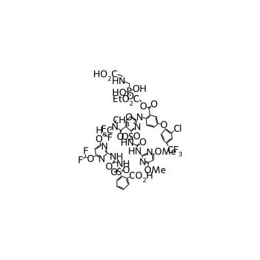 CCOC(=O)COC(=O)c1cc(Oc2ccc(C(F)(F)F)cc2Cl)ccc1[N+](=O)[O-].COc1cc(OC)nc(NC(=O)NS(=O)(=O)c2ncccc2C(=O)N(C)C)n1.O=C(Nc1nc(OC(F)F)cc(OC(F)F)n1)NS(=O)(=O)c1ccccc1C(=O)O.O=C(O)CNCP(=O)(O)O